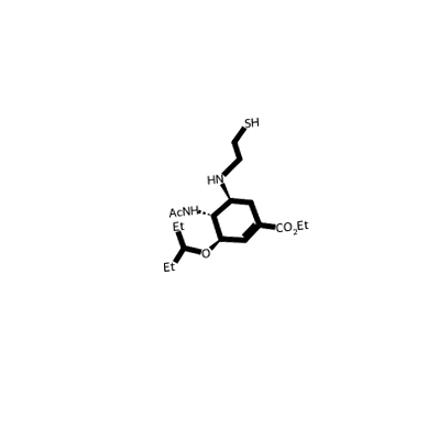 CCOC(=O)C1=C[C@@H](OC(CC)CC)[C@H](NC(C)=O)[C@@H](NCCS)C1